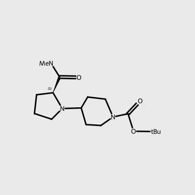 CNC(=O)[C@@H]1CCCN1C1CCN(C(=O)OC(C)(C)C)CC1